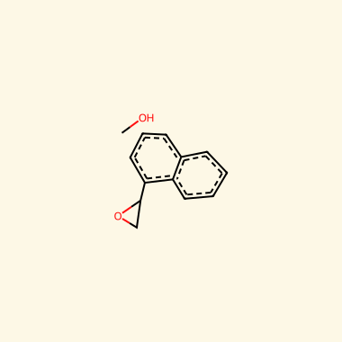 CO.c1ccc2c(C3CO3)cccc2c1